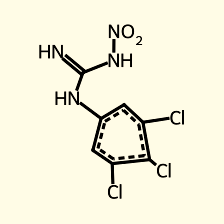 N=C(Nc1cc(Cl)c(Cl)c(Cl)c1)N[N+](=O)[O-]